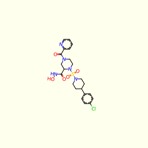 O=C(NO)C1CN(C(=O)c2ccccn2)CCN1S(=O)(=O)N1CCC(c2ccc(Cl)cc2)CC1